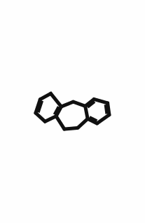 C1=CCC2=C(C1)CCc1ccccc1C2